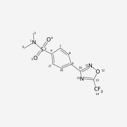 CN(C)S(=O)(=O)c1ccc(-c2noc(C(F)(F)F)n2)cc1